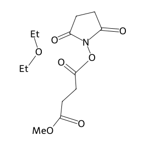 CCOCC.COC(=O)CCC(=O)ON1C(=O)CCC1=O